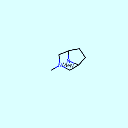 CNN1C2CCC1CN(C)C2